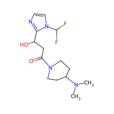 CN(C)C1CCN(C(=O)CC(O)c2nccn2C(F)F)CC1